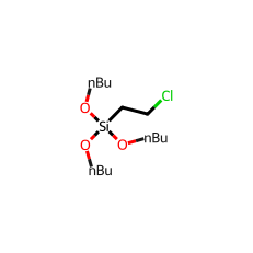 CCCCO[Si](CCCl)(OCCCC)OCCCC